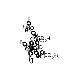 CCOC(=O)c1ccc(NC(=O)Nc2ccc(CC(=O)O)cc2)cc1.CCOC(=O)c1ccc(NC(=O)Nc2ccc3[nH]ccc3c2)cc1.O=C(Nc1ccc(F)cc1)Nc1ccc(N2CCOCC2)cc1.O=C(Nc1ccc(F)cc1)Nc1ccc2ncsc2c1